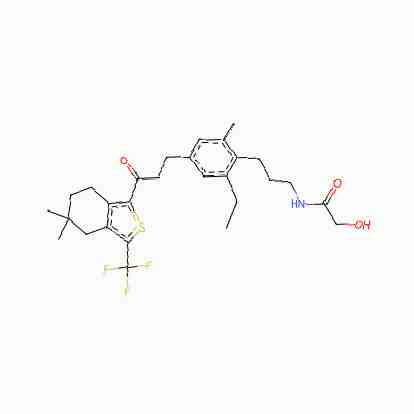 CCc1cc(CCC(=O)c2sc(C(F)(F)F)c3c2CCC(C)(C)C3)cc(C)c1CCCNC(=O)CO